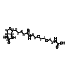 O=C(O)NCCOCCOCCNC(=O)CCCCC1SCC2NC(=O)NC21